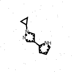 c1c[nH]c(-c2cnn(C3CC3)c2)c1